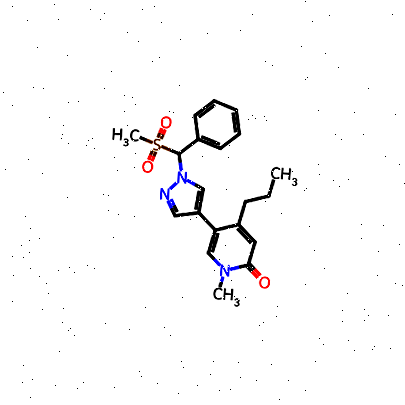 CCCc1cc(=O)n(C)cc1-c1cnn(C(c2ccccc2)S(C)(=O)=O)c1